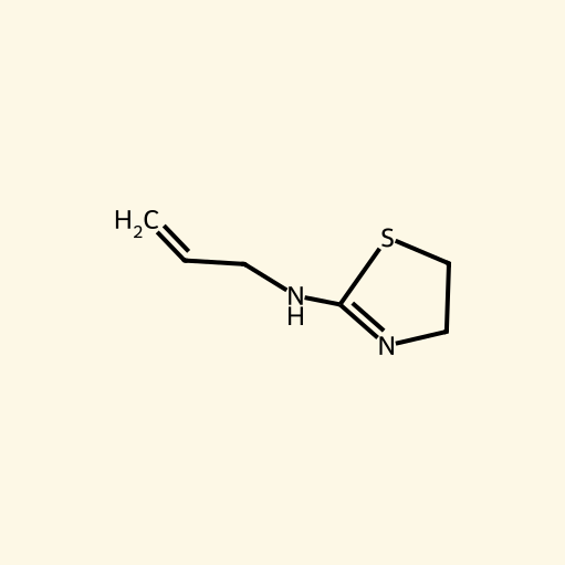 C=CCNC1=NCCS1